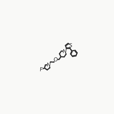 FC1CCN(CCOCC2CCN(c3ccsc3-c3ccccc3)CC2)C1